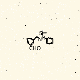 C[Si](C)(C)N(N=Cc1cccc(C=O)c1)c1ccccc1